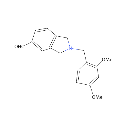 COc1ccc(CN2Cc3ccc(C=O)cc3C2)c(OC)c1